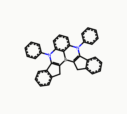 c1ccc(N2C3=C(Cc4ccccc43)B3C4=C(c5ccccc5C4)N(c4ccccc4)c4cccc2c43)cc1